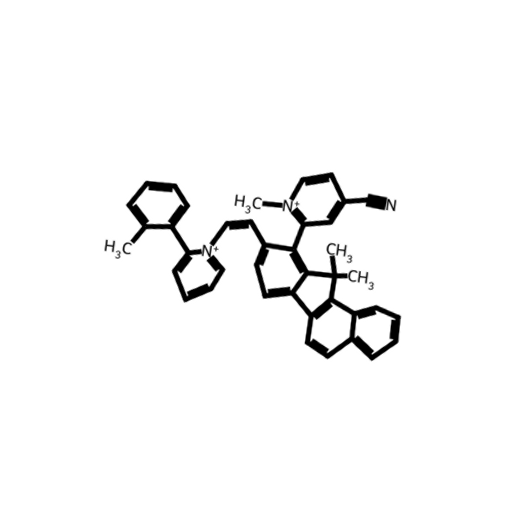 Cc1ccccc1-c1cccc[n+]1/C=C\c1ccc2c(c1-c1cc(C#N)cc[n+]1C)C(C)(C)c1c-2ccc2ccccc12